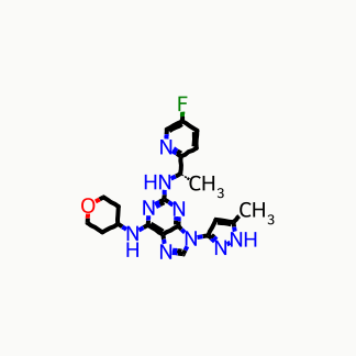 Cc1cc(-n2cnc3c(NC4CCOCC4)nc(N[C@@H](C)c4ccc(F)cn4)nc32)n[nH]1